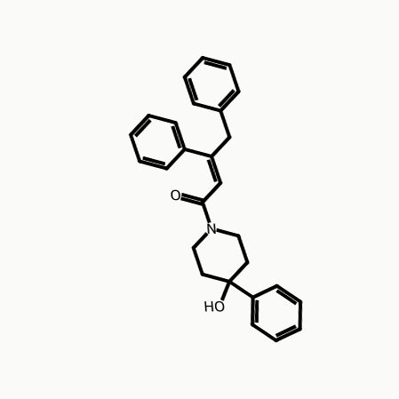 O=C(/C=C(/Cc1ccccc1)c1ccccc1)N1CCC(O)(c2ccccc2)CC1